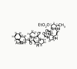 CCOC(=O)[C@@H]1C[C@@H](C)[C@@H]2C=C[C@H]3CCN(C(=O)[C@@H]4CC[C@H]5C=C[C@]6(CCCN6C(=O)C(Cc6ccccc6Cl)NC(C)=O)C(=O)N54)[C@@H]3C(=O)N12